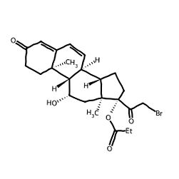 CCC(=O)O[C@@]1(C(=O)CBr)CC[C@H]2[C@@H]3C=CC4=CC(=O)CC[C@]4(C)[C@H]3[C@@H](O)C[C@@]21C